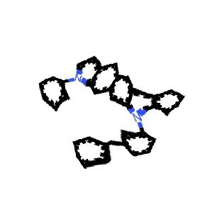 c1ccc(-c2cccc(-n3c4ccccc4c4cc5cc6ccn(-c7ccccc7)c6cc5cc43)c2)cc1